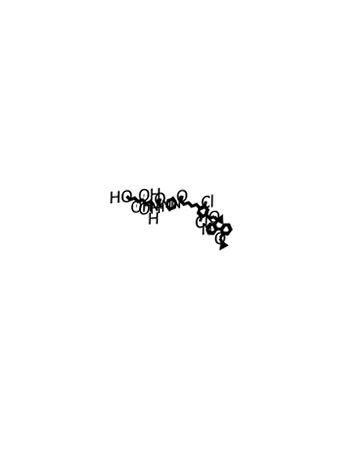 O=C(CN1CCN(C(=O)CCCCc2cc(Cl)c(COC3(c4cnccc4-c4ccccc4OC4CC4)CC3)cc2Cl)CC1)NC[C@H](O)[C@@H](O)[C@H](O)CCO